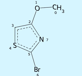 COc1csc(Br)n1